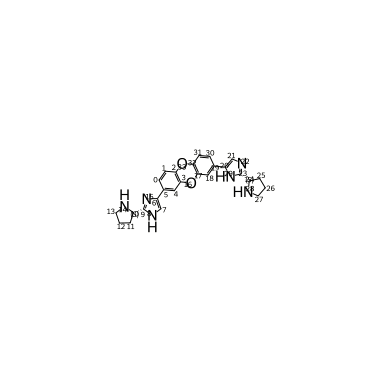 c1cc2c(cc1-c1c[nH]c([C@@H]3CCCN3)n1)Oc1cc(-c3cnc([C@@H]4CCCN4)[nH]3)ccc1O2